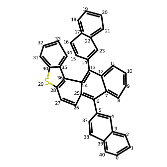 c1ccc2cc(-c3c4ccccc4c(-c4ccc5ccccc5c4)c4c3ccc3sc5ccccc5c34)ccc2c1